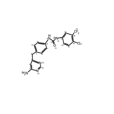 Nc1cc(Cc2ccc(NC(=O)Nc3ccc(Cl)c(C(F)(F)F)c3)cc2)ncn1